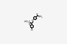 NC(=O)c1ccc(OCc2c(C(=O)O)sc3cc(Cl)ccc23)cc1